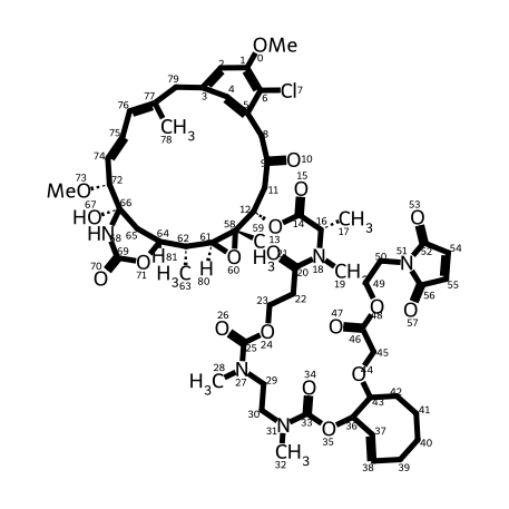 COc1cc2cc(c1Cl)CC(=O)C[C@H](OC(=O)[C@H](C)N(C)C(=O)CCOC(=O)N(C)CCN(C)C(=O)OC1/C=C/CCCCC1OCC(=O)OCCN1C(=O)C=CC1=O)[C@]1(C)O[C@H]1[C@H](C)[C@@H]1C[C@@](O)(NC(=O)O1)[C@H](OC)/C=C/C=C(\C)C2